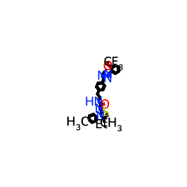 CCc1cc(C)ccc1N1C(=NC(=O)NCCc2ccc(-c3ncn(-c4ccccc4OC(F)(F)F)n3)cc2)SCC1C